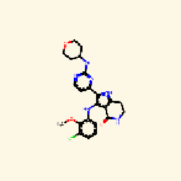 COc1c(Cl)cccc1Nc1c(-c2ccnc(NC3CCOCC3)n2)[nH]c2c1C(=O)NCC2